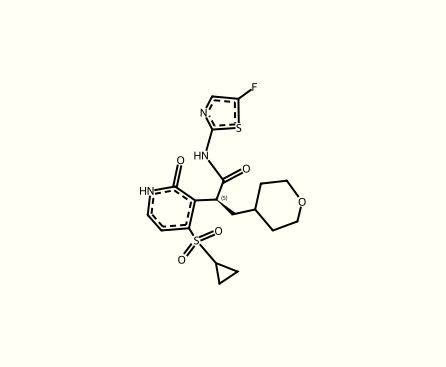 O=C(Nc1ncc(F)s1)[C@@H](CC1CCOCC1)c1c(S(=O)(=O)C2CC2)cc[nH]c1=O